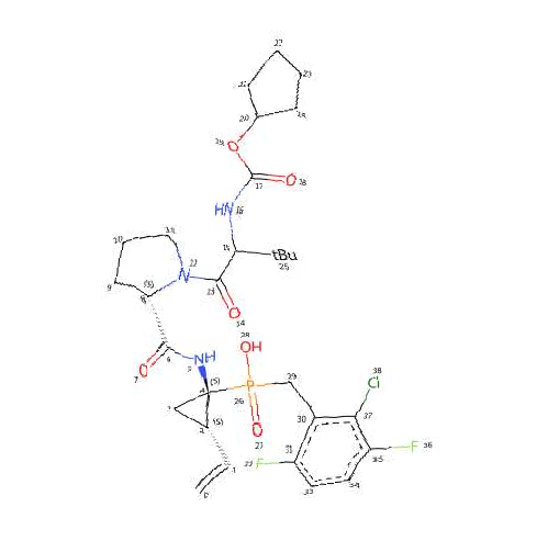 C=C[C@@H]1C[C@]1(NC(=O)[C@@H]1CCCN1C(=O)C(NC(=O)OC1CCCC1)C(C)(C)C)P(=O)(O)Cc1c(F)ccc(F)c1Cl